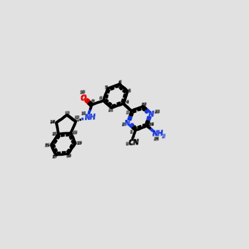 N#Cc1nc(-c2cccc(C(=O)N[C@H]3CCc4ccccc43)c2)cnc1N